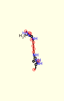 CCCC(C(=O)NC=O)N1Cc2cc(NC(=O)CCOCCOCCOCCOCCNCc3ccc(N/C(=C4\C(=O)Nc5cc(C#CC=O)ccc54)c4ccccc4)cc3)ccc2C1=O